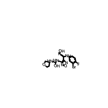 O/N=C(\Nc1ccc(F)c(Br)c1)c1nonc1NC(O)NC1CCOC1